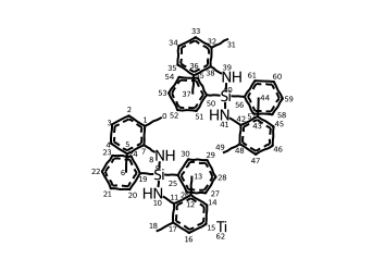 Cc1cccc(C)c1N[Si](Nc1c(C)cccc1C)(c1ccccc1)c1ccccc1.Cc1cccc(C)c1N[Si](Nc1c(C)cccc1C)(c1ccccc1)c1ccccc1.[Ti]